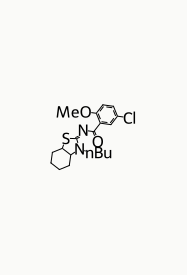 CCCCN1C(=NC(=O)c2cc(Cl)ccc2OC)SC2CCCCC21